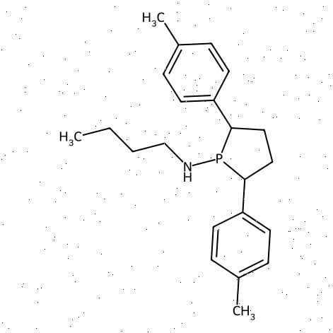 CCCCNP1C(c2ccc(C)cc2)CCC1c1ccc(C)cc1